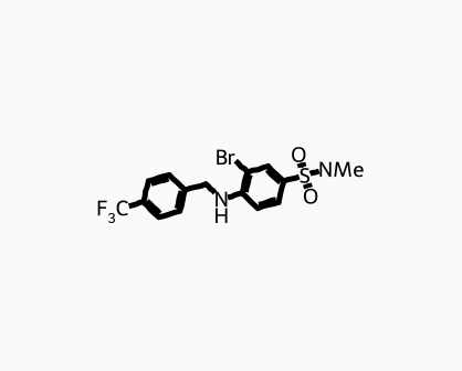 CNS(=O)(=O)c1ccc(NCc2ccc(C(F)(F)F)cc2)c(Br)c1